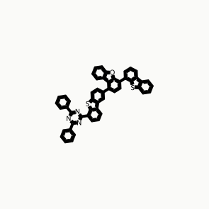 c1ccc(-c2nc(-c3ccccc3)nc(-c3cccc4c3sc3ccc(-c5ccc(-c6cccc7c6sc6ccccc67)c6oc7ccccc7c56)cc34)n2)cc1